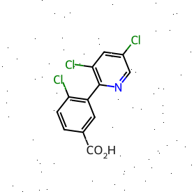 O=C(O)c1ccc(Cl)c(-c2ncc(Cl)cc2Cl)c1